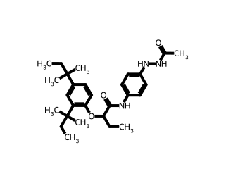 CCC(Oc1ccc(C(C)(C)CC)cc1C(C)(C)CC)C(=O)Nc1ccc(NNC(C)=O)cc1